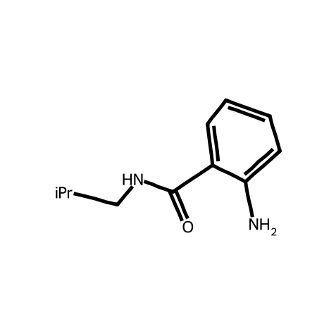 CC(C)CNC(=O)c1ccccc1N